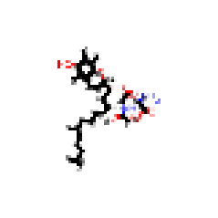 CC(=O)NCC(=O)O.Cc1c(C)c2c(c(C)c1O)CC[C@@](C)(CCC[C@H](C)CCC[C@H](C)CCCC(C)C)O2.NCC(=O)O